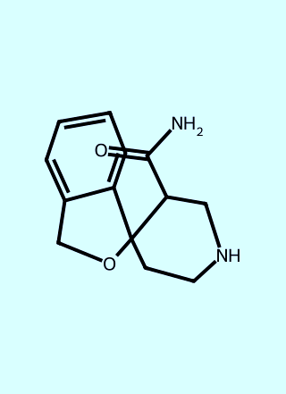 NC(=O)C1CNCCC12OCc1ccccc12